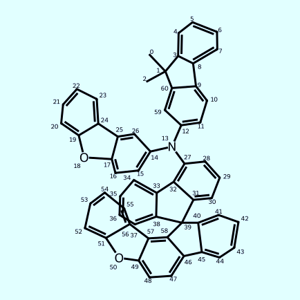 CC1(C)c2ccccc2-c2ccc(N(c3ccc4oc5ccccc5c4c3)c3cccc4c3-c3ccccc3C43c4ccccc4-c4ccc5oc6ccccc6c5c43)cc21